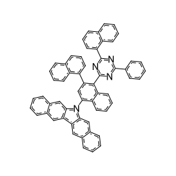 c1ccc(-c2nc(-c3cccc4ccccc34)nc(-c3c(-c4cccc5ccccc45)cc(-n4c5cc6ccccc6cc5c5cc6ccccc6cc54)c4ccccc34)n2)cc1